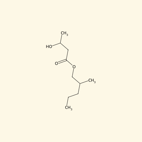 CCCC(C)COC(=O)CC(C)O